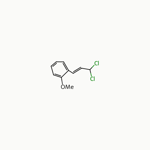 COc1ccccc1C=CC(Cl)Cl